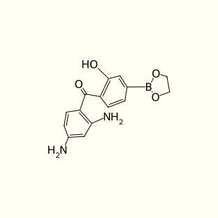 Nc1ccc(C(=O)c2ccc(B3OCCO3)cc2O)c(N)c1